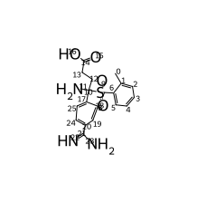 Cc1ccccc1S(=O)(=O)C(N)(CCC(=O)O)c1ccc(C(=N)N)cc1